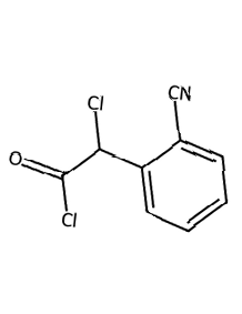 N#Cc1ccccc1C(Cl)C(=O)Cl